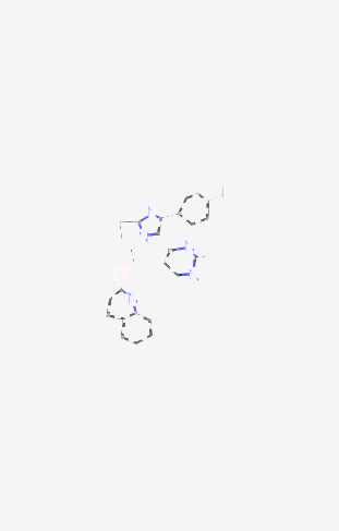 Fc1ccc(-c2nc3n(c2-c2ccnc(S)n2)C(COc2ccc4ccccc4n2)CC3)cc1